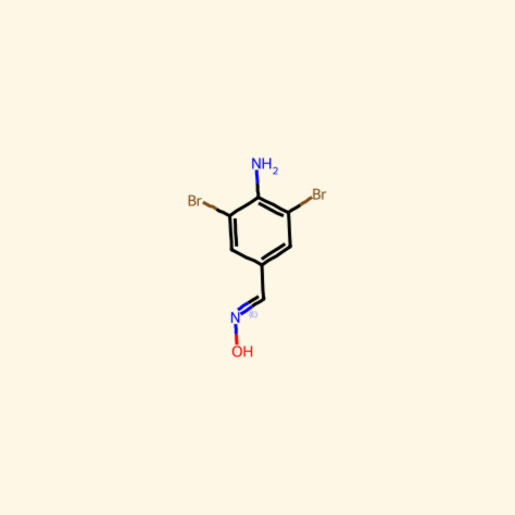 Nc1c(Br)cc(/C=N/O)cc1Br